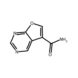 NC(=O)c1coc2ncncc12